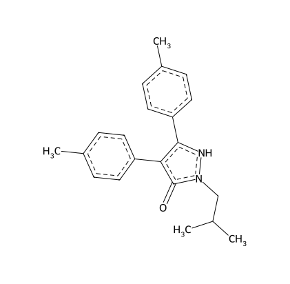 Cc1ccc(-c2[nH]n(CC(C)C)c(=O)c2-c2ccc(C)cc2)cc1